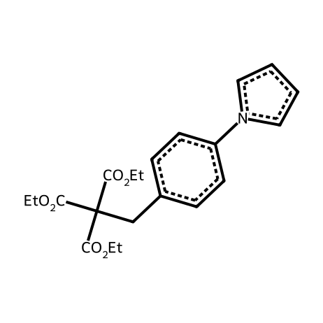 CCOC(=O)C(Cc1ccc(-n2cccc2)cc1)(C(=O)OCC)C(=O)OCC